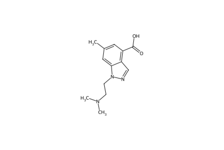 Cc1cc(C(=O)O)c2cnn(CCN(C)C)c2c1